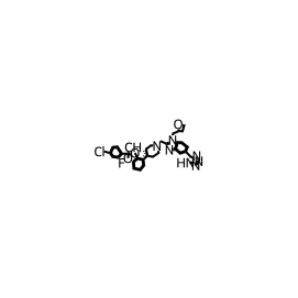 CC1(c2ccc(Cl)cc2F)Oc2cccc(C3CCN(Cc4nc5cc(-c6nnn[nH]6)ccc5n4CC4CCO4)CC3)c2O1